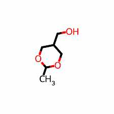 CC1OCC(CO)CO1